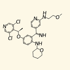 COCCNc1cc(C(=N)c2cc(O[C@H](C)c3c(Cl)cncc3Cl)ccc2NC2CCCCO2)ccn1